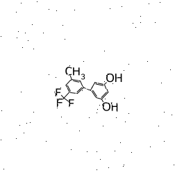 Cc1cc(-c2cc(O)cc(O)c2)cc(C(F)(F)F)c1